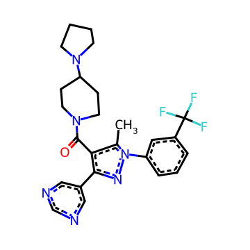 Cc1c(C(=O)N2CCC(N3CCCC3)CC2)c(-c2cncnc2)nn1-c1cccc(C(F)(F)F)c1